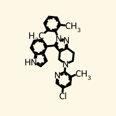 Cc1cc(Cl)cnc1N1CCc2nn(-c3c(C)cccc3C)c(-c3cccc4[nH]ccc34)c2C1